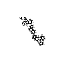 C=Nc1c(/C=C\C)ccc2c(-c3ccc4c(ccc5cc(-c6ccc7ccc8c(-c9ccccc9)c9ccccc9nc8c7n6)ccc54)c3)ccnc12